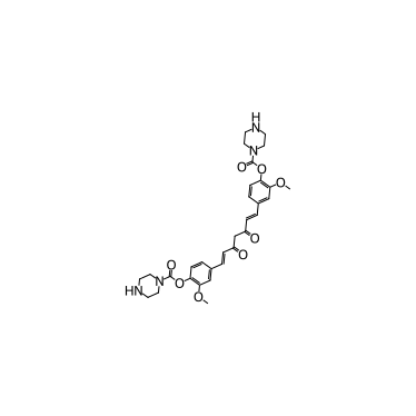 COc1cc(C=CC(=O)CC(=O)C=Cc2ccc(OC(=O)N3CCNCC3)c(OC)c2)ccc1OC(=O)N1CCNCC1